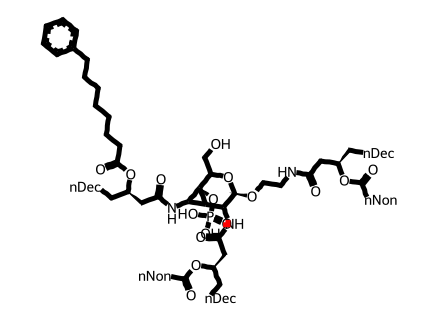 CCCCCCCCCCC[C@H](CC(=O)NCCO[C@@H]1OC(CO)[C@@]2(OP(=O)(O)O)C(NC(=O)C[C@@H](CCCCCCCCCCC)OC(=O)CCCCCCCc3ccccc3)C2C1NC(=O)C[C@@H](CCCCCCCCCCC)OC(=O)CCCCCCCCC)OC(=O)CCCCCCCCC